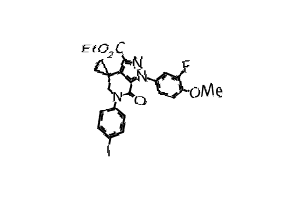 CCOC(=O)c1nn(-c2ccc(OC)c(F)c2)c2c1C1(CC1)CN(c1ccc(I)cc1)C2=O